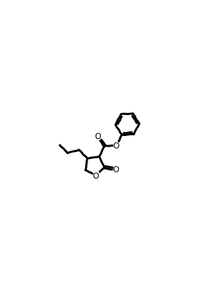 CCCC1COC(=O)C1C(=O)Oc1ccccc1